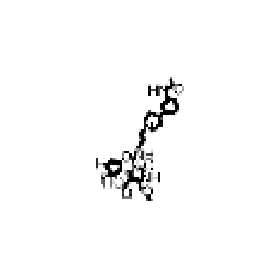 COCC1=C(C(=O)O)[C@H](c2ccc(F)c(F)c2)N(C(=O)NCCCN2CCC(c3cccc(NC(C)=O)c3)CC2)C(=O)N1